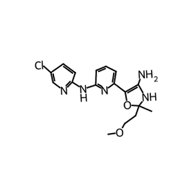 COCCC1(C)NC(N)=C(c2cccc(Nc3ccc(Cl)cn3)n2)O1